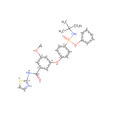 CCOC(=O)C(C)(C)NP(=O)(Oc1ccccc1)c1ccc(Oc2cc(OC(C)C)cc(C(=O)Nc3nccs3)c2)cc1